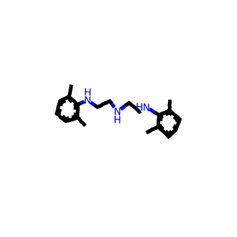 Cc1cccc(C)c1NCCNCCNc1c(C)cccc1C